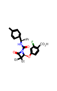 CCC[C@@H](NC(=O)N1C(=O)C(CC)(CC)[C@@H]1Oc1ccc(C(=O)O)c(F)c1)c1ccc(C)cc1